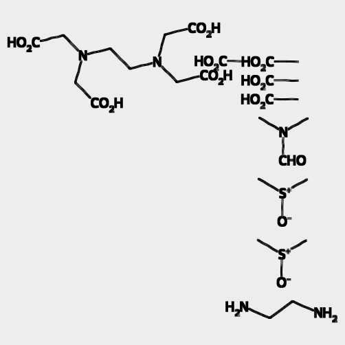 CC(=O)O.CC(=O)O.CC(=O)O.CC(=O)O.CN(C)C=O.C[S+](C)[O-].C[S+](C)[O-].NCCN.O=C(O)CN(CCN(CC(=O)O)CC(=O)O)CC(=O)O